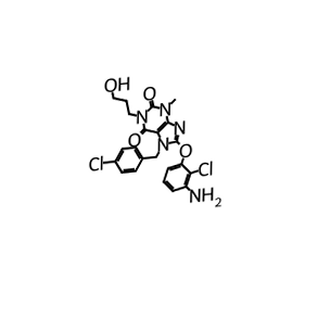 Cn1c(=O)n(CCCO)c(=O)c2c1nc(Oc1cccc(N)c1Cl)n2Cc1ccc(Cl)cc1